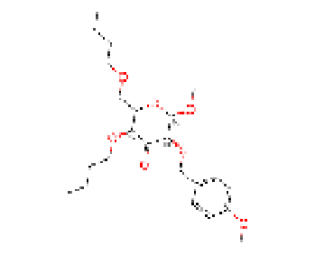 CCCCOCC1O[C@@H](OC)[C@@H](OCc2ccc(OC)cc2)C(=O)[C@H]1OCCCC